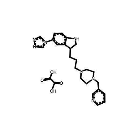 O=C(O)C(=O)O.c1cncc(CN2CCN(CCCC3CNc4ccc(-n5cnnc5)cc43)CC2)c1